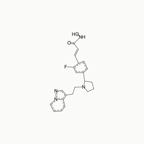 O=C(C=Cc1ccc(C2CCCN2CCc2cnn3ccccc23)cc1F)NO